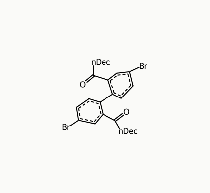 CCCCCCCCCCC(=O)c1cc(Br)ccc1-c1ccc(Br)cc1C(=O)CCCCCCCCCC